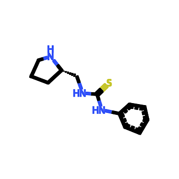 S=C(NC[C@@H]1CCCN1)Nc1ccccc1